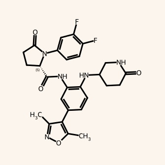 Cc1noc(C)c1-c1ccc(NC2CCC(=O)NC2)c(NC(=O)[C@@H]2CCC(=O)N2c2ccc(F)c(F)c2)c1